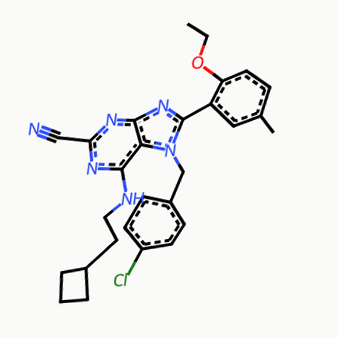 CCOc1ccc(C)cc1-c1nc2nc(C#N)nc(NCCC3CCC3)c2n1Cc1ccc(Cl)cc1